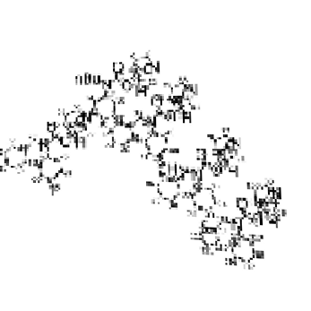 CCCCN(C(=O)O[C@H]1CN2CCC1CC2)c1ccccc1.Cc1ccc(N(Cc2ccccc2)C(=O)O[C@H]2CN3CCC2CC3)cc1.O=C(O[C@H]1CN2CCC1CC2)N(Cc1ccccc1)c1ccc(F)cc1.O=C(O[C@H]1CN2CCC1CC2)N(Cc1ccccc1)c1ccccc1.O=C(O[C@H]1CN2CCC1CC2)N(Cc1cccs1)c1ccccc1